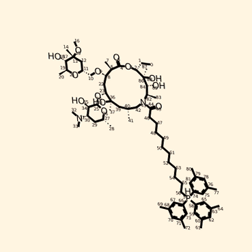 CC[C@H]1OC(=O)[C@H](C)[C@@H](OC[C@H]2C[C@@](C)(OC)[C@@H](O)[C@H](C)O2)C[C@@H](O[C@@H]2O[C@H](C)C[C@H](N(C)C)[C@H]2O)[C@](C)(O)C[C@@H](C)CN(C(=O)CCCCCCCCCCC[PH](c2cc(C)cc(C)c2)(c2cc(C)cc(C)c2)c2cc(C)cc(C)c2)[C@H](C)[C@@H](O)[C@]1(C)O